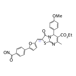 CCOC(=O)C1=C(C)N=c2s/c(=C\c3ccc(-c4ccc(C(=O)N=O)cc4)o3)c(=O)n2C1c1ccc(OC)cc1